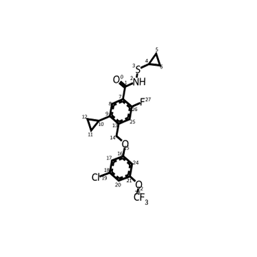 O=C(NSC1CC1)c1cc(C2CC2)c(COc2cc(Cl)cc(OC(F)(F)F)c2)cc1F